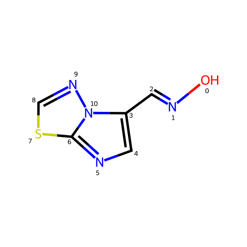 ON=Cc1cnc2scnn12